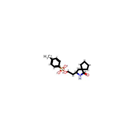 Cc1ccc(S(=O)(=O)OCCC2CC3(CCCC3)C(=O)N2)cc1